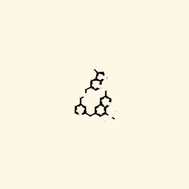 Cc1cnc2c(S(C)(=O)=O)cc(Cc3cc(CNCc4cnc5[nH]cc(Cl)c5c4)ccn3)cc2c1